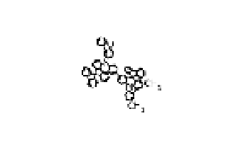 Cc1ccc2c(c1)c1cc(C)cc3c1n2-c1ccc(-c2ccc(N(c4ccc5oc6ccccc6c5c4)c4cccc5c4-c4ccccc4C5(c4ccccc4)c4ccccc4)cc2)cc1C31c2ccccc2-c2ccccc21